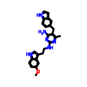 COc1ccc2[nH]cc(CCNc3nc(C)c(Cc4ccc5[nH]ccc5c4)c(N)n3)c2c1